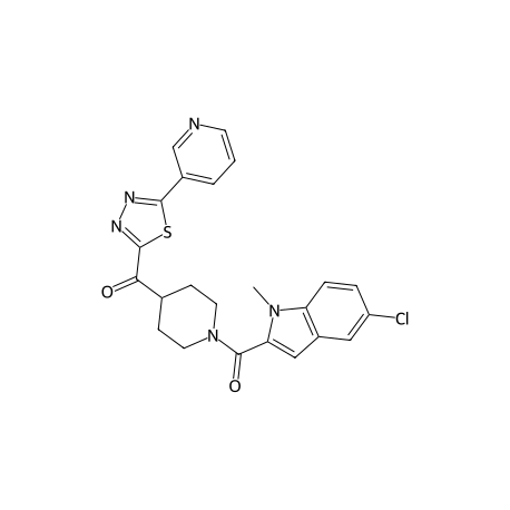 Cn1c(C(=O)N2CCC(C(=O)c3nnc(-c4cccnc4)s3)CC2)cc2cc(Cl)ccc21